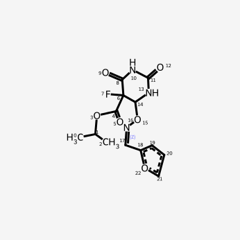 CC(C)OC(=O)C1(F)C(=O)NC(=O)NC1O/N=C\c1ccco1